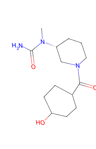 CN(C(N)=O)[C@@H]1CCCN(C(=O)C2CCC(O)CC2)C1